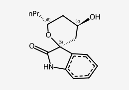 CCC[C@@H]1C[C@@H](O)C[C@@]2(O1)C(=O)Nc1ccccc12